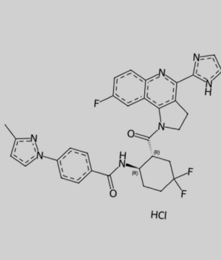 Cc1ccn(-c2ccc(C(=O)N[C@@H]3CCC(F)(F)C[C@H]3C(=O)N3CCc4c(-c5ncc[nH]5)nc5ccc(F)cc5c43)cc2)n1.Cl